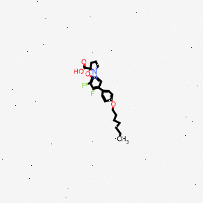 CCCCCCCOc1ccc(-c2ccc(O[C@@]3(C(=O)O)CCCN3)c(F)c2F)cc1